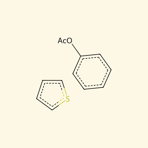 CC(=O)Oc1ccccc1.c1ccsc1